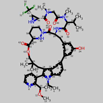 CCn1c(-c2cccnc2[C@H](C)OC)c2c3cc(ccc31)-c1cc(O)cc(c1)C[C@H](NC(=O)C(C(C)C)N(C)C(=O)CN(C)C(=O)[C@@H]1N[C@@H]1C(F)(F)F)C(=O)N1CCC[C@H](N1)C(=O)OCC(C)(C)C2